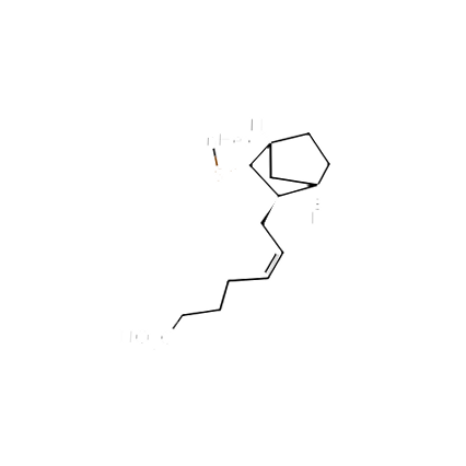 CCCCCCS[C@@H]1[C@H]2CC[C@H](C2)[C@H]1C/C=C\CCCC(=O)O